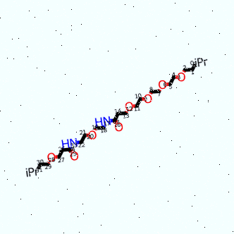 CC(C)CCOCCOCCOCCOCCC(=O)NCCOCCNC(=O)CCOCCC(C)C